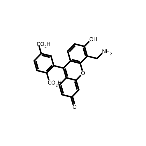 NCc1c(O)ccc2c(-c3cc(C(=O)O)ccc3C(=O)O)c3ccc(=O)cc-3oc12